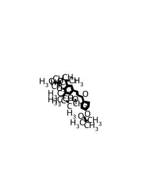 COC(=Cc1cc(C(C)(C)C)c(OC(=O)C(C)(C)C)c(C(C)(C)C)c1OC(C)C)C(=O)c1ccc(OC(=O)C(C)(C)C)cc1